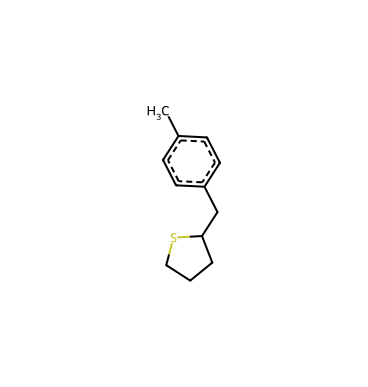 Cc1ccc(CC2CCCS2)cc1